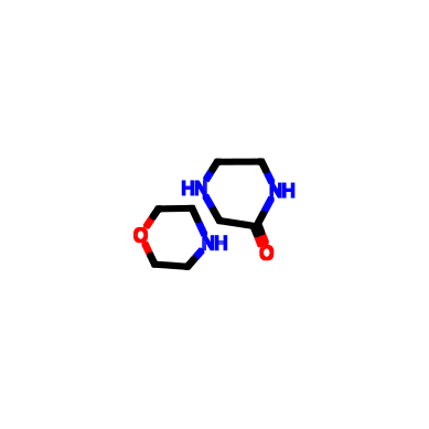 C1COCCN1.O=C1CNCCN1